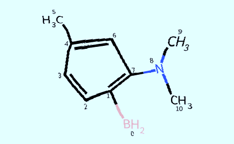 Bc1ccc(C)cc1N(C)C